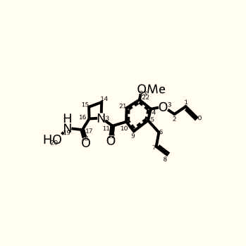 C=CCOc1c(CC=C)cc(C(=O)N2CCC2C(=O)NO)cc1OC